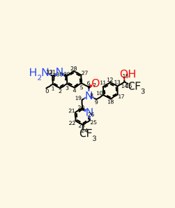 Cc1cc2cc(C(=O)N(Cc3ccc(C(O)C(F)(F)F)cc3)Cc3ccc(C(F)(F)F)cn3)ccc2nc1N